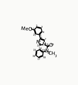 COc1cccc(-c2cn(C(=O)N(C)c3ccccc3)cn2)c1